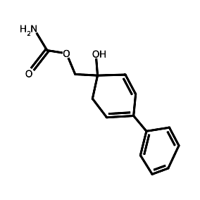 NC(=O)OCC1(O)C=CC(c2ccccc2)=CC1